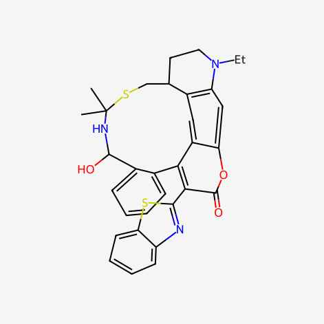 CCN1CCC2CSC(C)(C)NC(O)c3ccccc3-c3c(-c4nc5ccccc5s4)c(=O)oc4cc1c2cc34